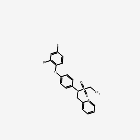 O=S(=O)(CC(F)(F)F)N(Cc1ccccn1)c1ccc(Oc2ccc(F)cc2F)cc1